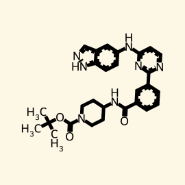 CC(C)(C)OC(=O)N1CCC(NC(=O)c2cccc(-c3nccc(Nc4ccc5[nH]ncc5c4)n3)c2)CC1